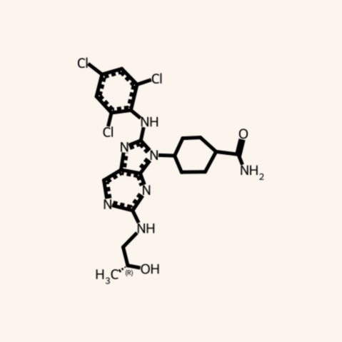 C[C@@H](O)CNc1ncc2nc(Nc3c(Cl)cc(Cl)cc3Cl)n(C3CCC(C(N)=O)CC3)c2n1